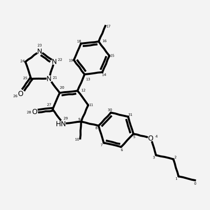 CCCCOc1ccc(C2(C)CC(c3ccc(C)cc3)=C(N3N=NCC3=O)C(=O)N2)cc1